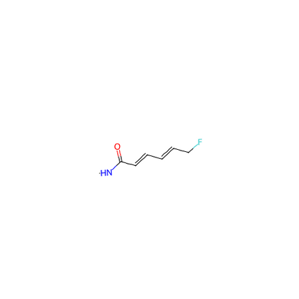 [NH]C(=O)C=CC=CCF